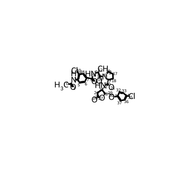 CC(=O)Nc1ccc(C(=O)N[C@@H](C)C(=O)N2CCC[C@H]2C(=O)N[C@H]2CC(=O)O[C@H]2COc2ccc(Cl)cc2)cc1Cl